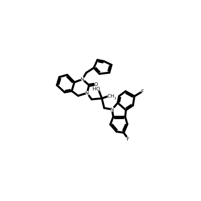 CC(O)(CN1Cc2ccccc2N(Cc2ccccc2)C1=O)Cn1c2ccc(F)cc2c2cc(F)ccc21